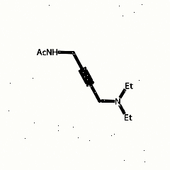 CCN(CC)CC#CCNC(C)=O